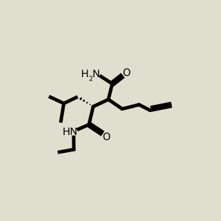 C=CCCC(C(N)=O)[C@@H](CC(C)C)C(=O)NCC